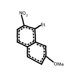 CCc1c([N+](=O)[O-])ccc2ccc(OC)cc12